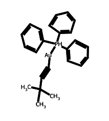 CC(C)(C)C#[C][Au][PH](c1ccccc1)(c1ccccc1)c1ccccc1